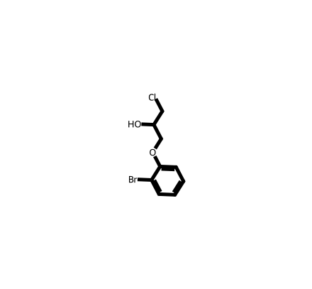 OC(CCl)COc1ccccc1Br